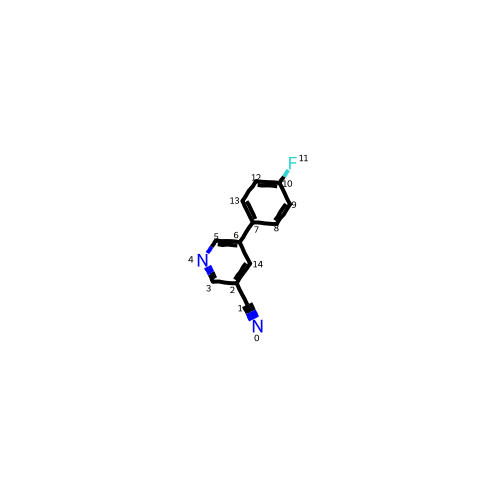 N#Cc1cncc(-c2ccc(F)cc2)c1